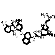 CC(C)C(=N)/C=C(/NC(=O)NC1CC[C@@H](Oc2ccc(=N)n(C(=N)N3C(C)CCCC3C)c2)c2ccccc21)Nc1ccn(CCN(C)C)n1